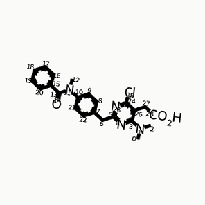 CN(C)c1nc(Cc2ccc(N(C)C(=O)c3ccccc3)cc2)nc(Cl)c1CC(=O)O